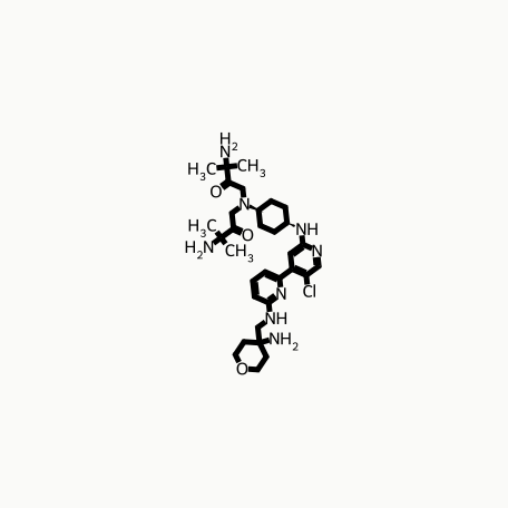 CC(C)(N)C(=O)CN(CC(=O)C(C)(C)N)[C@H]1CC[C@H](Nc2cc(-c3cccc(NCC4(N)CCOCC4)n3)c(Cl)cn2)CC1